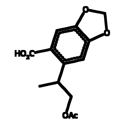 CC(=O)OCC(C)c1cc2c(cc1C(=O)O)OCO2